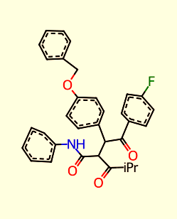 CC(C)C(=O)C(C(=O)Nc1ccccc1)C(C(=O)c1ccc(F)cc1)c1ccc(OCc2ccccc2)cc1